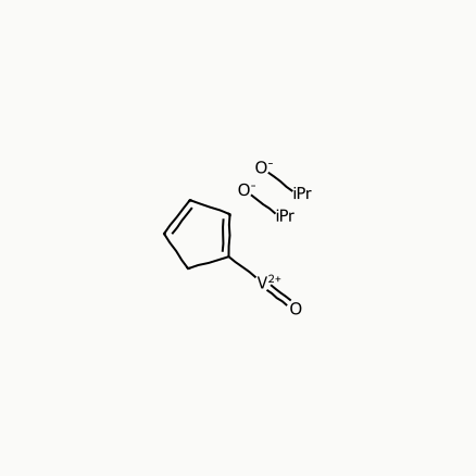 CC(C)[O-].CC(C)[O-].[O]=[V+2][C]1=CC=CC1